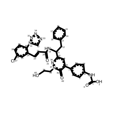 O=C(O)Nc1ccc(-c2cc(C(Cc3ccccc3)NC(=O)C=Cc3cc(Cl)ccc3-n3cnnn3)nn(CCO)c2=O)cc1